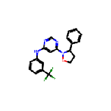 FC(F)(F)c1cccc(Nc2cc(N3OCCC3c3ccccc3)ncn2)c1